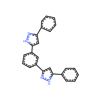 c1ccc(-c2cc(-c3cccc(-c4cc(-c5ccccc5)[nH]n4)c3)[nH]n2)cc1